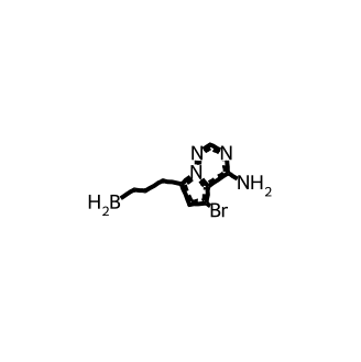 BCCCc1cc(Br)c2c(N)ncnn12